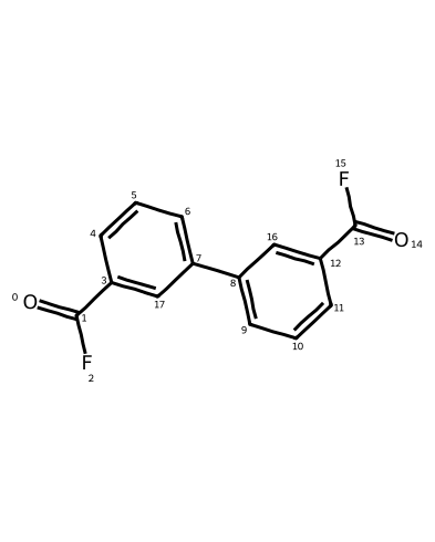 O=C(F)c1cccc(-c2cccc(C(=O)F)c2)c1